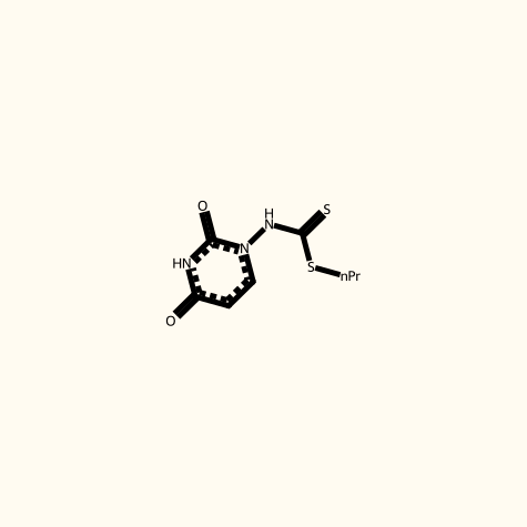 CCCSC(=S)Nn1ccc(=O)[nH]c1=O